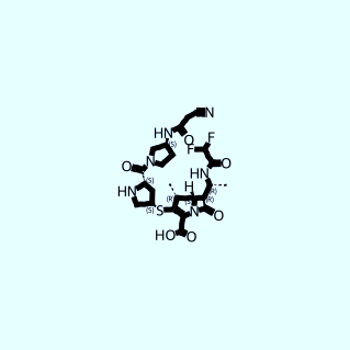 C[C@@H](NC(=O)C(F)F)[C@H]1C(=O)N2C(C(=O)O)=C(S[C@@H]3CN[C@H](C(=O)N4CC[C@H](NC(=O)CC#N)C4)C3)[C@H](C)[C@H]12